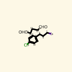 Clc1ccc(CCCI)cc1.O=CCCCC=O